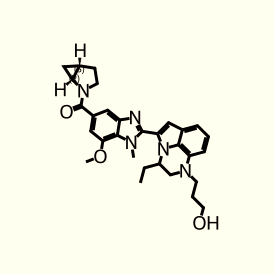 CCC1CN(CCCO)c2cccc3cc(-c4nc5cc(C(=O)N6CC[C@H]7C[C@H]76)cc(OC)c5n4C)n1c23